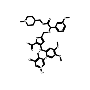 COc1cccc(C(NCc2cc([C@@H](Cc3c(Cl)c[n+](O)cc3Cl)c3ccc(OC)c(OC)c3)c(C(=O)[O-])s2)C(=O)OCC2CCN(C)CC2)c1